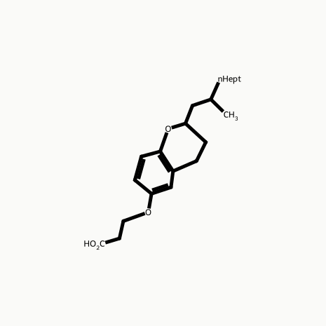 CCCCCCCC(C)CC1CCc2cc(OCCC(=O)O)ccc2O1